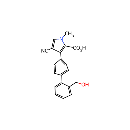 Cn1cc(C#N)c(-c2ccc(-c3ccccc3CO)cc2)c1C(=O)O